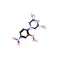 COc1cc([N+](=O)[O-])ccc1N1C[C@@H](C)N[C@@H](C)C1